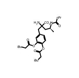 CCCC(=O)O[C@@H](C)CC(N)(Cc1ccc(OC(=O)CC(C)CC)c(OC(=O)CC(C)CC)c1)C(=O)O